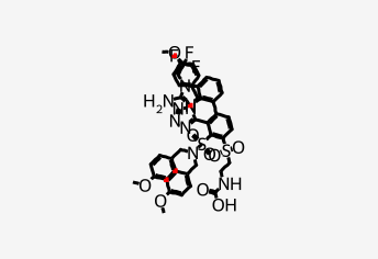 COc1ccc(CN(Cc2ccc(OC)cc2)S(=O)(=O)c2c(S(=O)(=O)CCNC(=O)O)ccc(-c3cccc4c3nc(N)n4CC(F)(F)F)c2-c2nnnn2Cc2ccc(OC)cc2)cc1